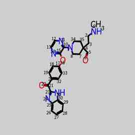 CNCCC1(C=O)CCN(c2nccnc2Oc2ccc(C(=O)c3nc4ccccc4[nH]3)cc2)CC1